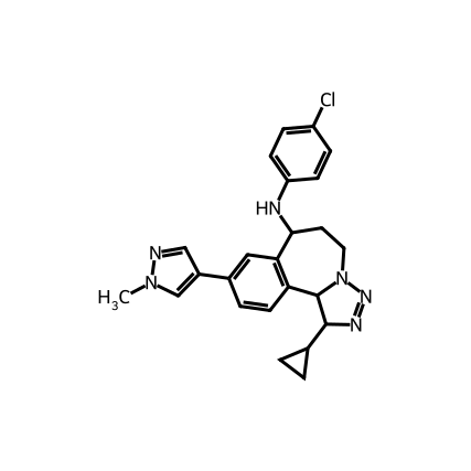 Cn1cc(-c2ccc3c(c2)C(Nc2ccc(Cl)cc2)CCN2N=NC(C4CC4)C32)cn1